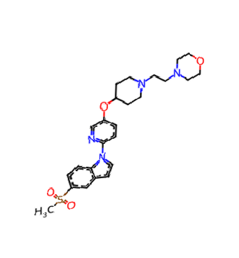 CS(=O)(=O)c1ccc2c(ccn2-c2ccc(OC3CCN(CCN4CCOCC4)CC3)cn2)c1